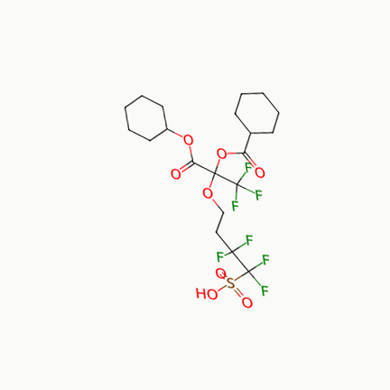 O=C(OC(OCCC(F)(F)C(F)(F)S(=O)(=O)O)(C(=O)OC1CCCCC1)C(F)(F)F)C1CCCCC1